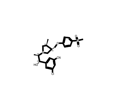 C[C@@H]1CN([C@H](C)[C@@H](O)c2cc(Cl)cc(C#N)c2)C[C@H]1COc1ccc(S(C)(=O)=O)cc1